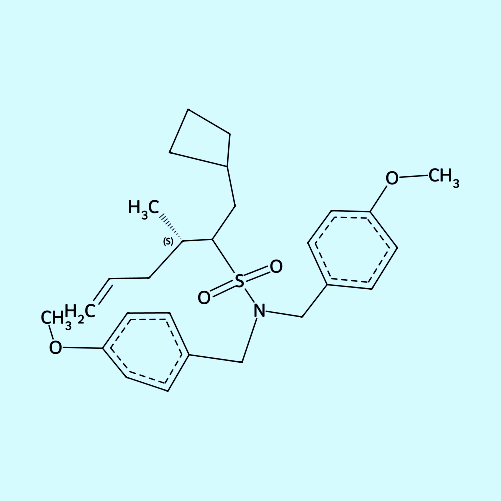 C=CC[C@H](C)C(CC1CCC1)S(=O)(=O)N(Cc1ccc(OC)cc1)Cc1ccc(OC)cc1